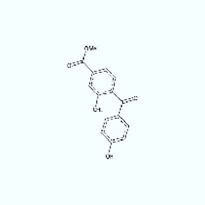 COC(=O)c1ccc(C(=O)c2ccc(O)cc2)c(C)c1